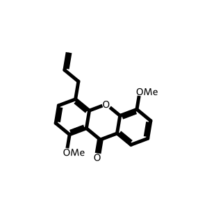 C=CCc1ccc(OC)c2c(=O)c3cccc(OC)c3oc12